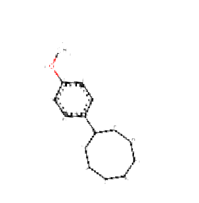 COc1ccc(C2CCCCCCC2)cc1